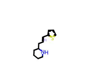 C(=C\c1cccs1)/CC1CCCCN1